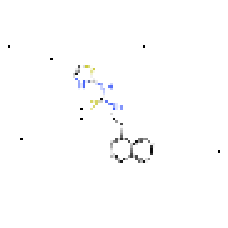 S=C(NCCc1cccc2ccccc12)Nc1nccs1